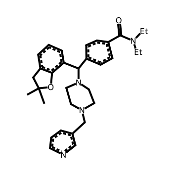 CCN(CC)C(=O)c1ccc(C(c2cccc3c2OC(C)(C)C3)N2CCN(Cc3cccnc3)CC2)cc1